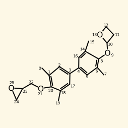 Cc1cc(-c2cc(C)c(OC3CCO3)c(C)c2)cc(C)c1OCC1CO1